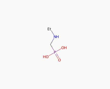 [CH2]CNCP(=O)(O)O